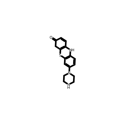 O=C1C=CC2=C(C1)Sc1cc(N3CCNCC3)ccc1N2